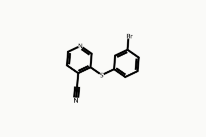 N#Cc1ccncc1Sc1cccc(Br)c1